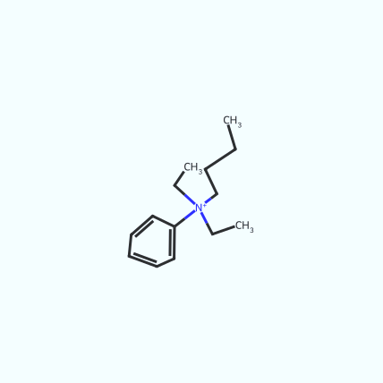 CCCC[N+](CC)(CC)c1ccccc1